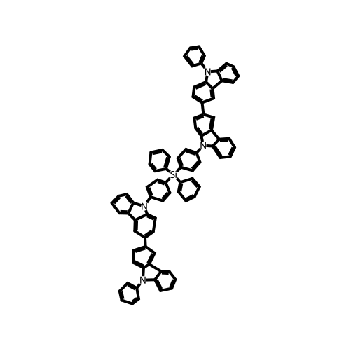 c1ccc(-n2c3ccccc3c3cc(-c4ccc5c(c4)c4ccccc4n5-c4ccc([Si](c5ccccc5)(c5ccccc5)c5ccc(-n6c7ccccc7c7cc(-c8ccc9c(c8)c8ccccc8n9-c8ccccc8)ccc76)cc5)cc4)ccc32)cc1